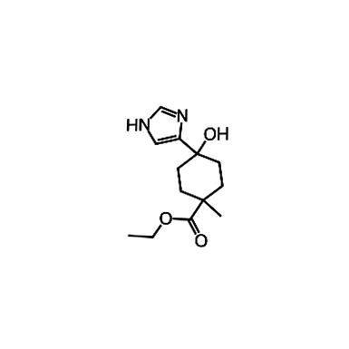 CCOC(=O)C1(C)CCC(O)(c2c[nH]cn2)CC1